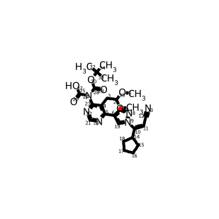 COC(Cc1c(-c2cnn(/C(=C\C#N)C3CCCC3)c2)ncnc1N(C(=O)O)C(=O)OC(C)(C)C)OC